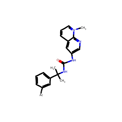 CC(=O)c1cccc(C(C)(C)NC(=O)Nc2cnc3c(ccc[n+]3C)c2)c1